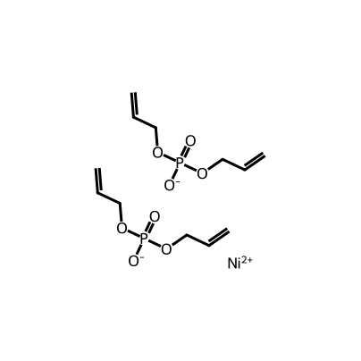 C=CCOP(=O)([O-])OCC=C.C=CCOP(=O)([O-])OCC=C.[Ni+2]